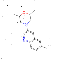 Cc1ccc2ncc(N3CC(C)OC(C)C3)cc2c1